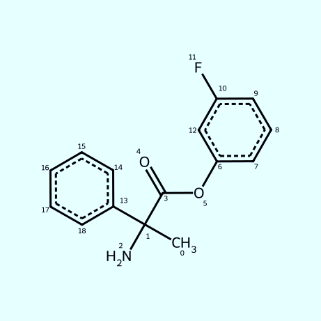 CC(N)(C(=O)Oc1cccc(F)c1)c1ccccc1